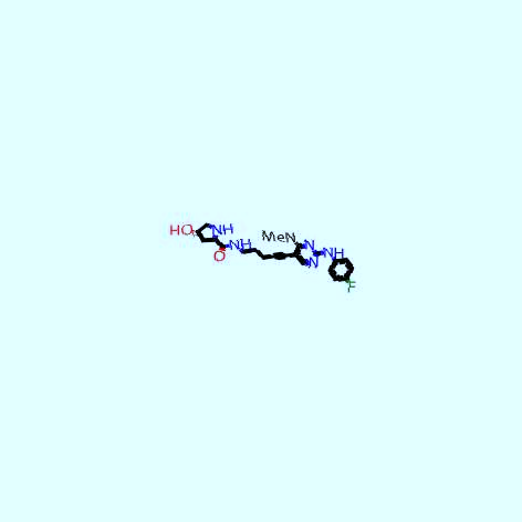 CNc1nc(Nc2ccc(F)cc2)ncc1C#CCCCNC(=O)C1C[C@H](O)CN1